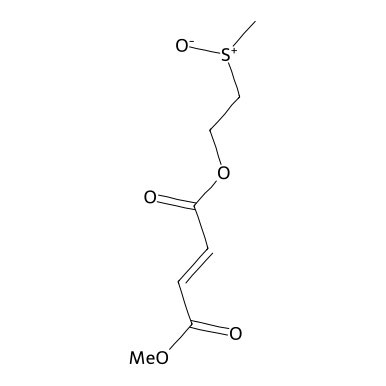 COC(=O)/C=C/C(=O)OCC[S+](C)[O-]